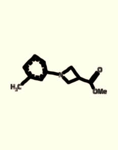 COC(=O)C1CN(c2cccc(C)c2)C1